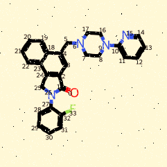 O=C1c2cc(CN3CCN(c4ccccn4)CC3)c3ccccc3c2CN1c1ccccc1F